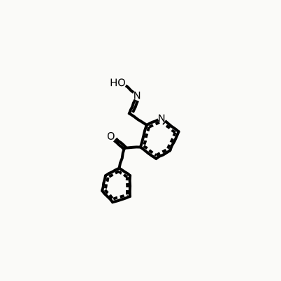 O=C(c1ccccc1)c1cccnc1C=NO